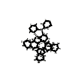 c1ccc(N(c2ccccc2)c2ccc(N(c3ccccc3)c3ccccc3)c3c2sc2c4ccccc4cc(N(c4ccccc4)c4ccccc4)c23)cc1